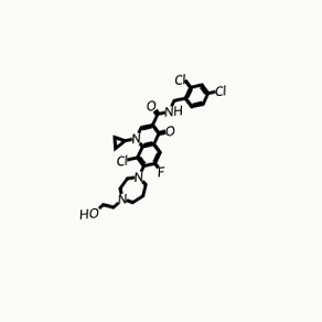 O=C(NCc1ccc(Cl)cc1Cl)c1cn(C2CC2)c2c(Cl)c(N3CCCN(CCO)CC3)c(F)cc2c1=O